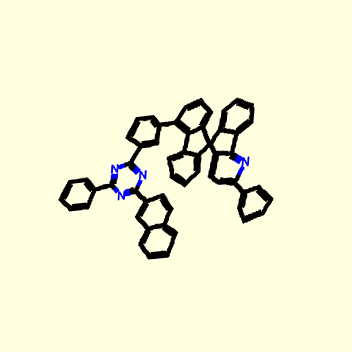 c1ccc(-c2ccc3c(n2)-c2ccccc2C32c3ccccc3-c3c(-c4cccc(-c5nc(-c6ccccc6)nc(-c6ccc7ccccc7c6)n5)c4)cccc32)cc1